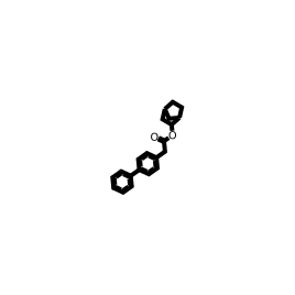 O=C(Cc1ccc(-c2ccccc2)cc1)OC1CC2CCC1C2